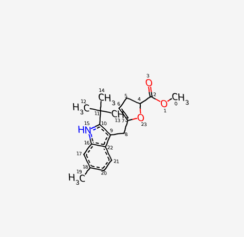 COC(=O)C1CC=C(Cc2c(C(C)(C)C)[nH]c3cc(C)ccc23)O1